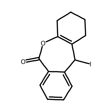 O=C1OC2=C(CCCC2)C(I)c2ccccc21